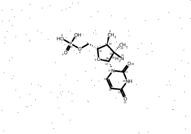 C[C@@H]1[C@@H](COP(=O)(O)O)O[C@@H](n2ccc(=O)[nH]c2=O)[C@]1(C)N